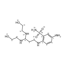 Nc1ccc(NCCC(NCCO)NCCO)c(S(N)(=O)=O)c1